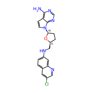 Nc1ncnc2c1ccn2[C@H]1CC[C@@H](CNc2ccc3cc(Cl)cnc3c2)O1